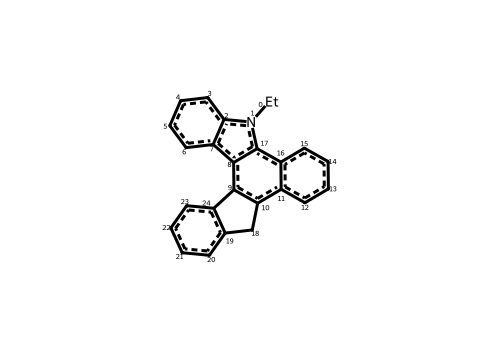 CCn1c2ccccc2c2c3c(c4ccccc4c21)Cc1ccccc1-3